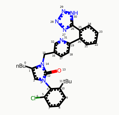 CCCCc1cn(-c2c(Cl)cccc2C(C)(C)C)c(=O)n1Cc1ccc(-c2ccccc2-c2nnn[nH]2)nc1